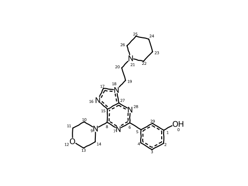 Oc1cccc(-c2nc(N3CCOCC3)c3ncn(CCN4CCCCC4)c3n2)c1